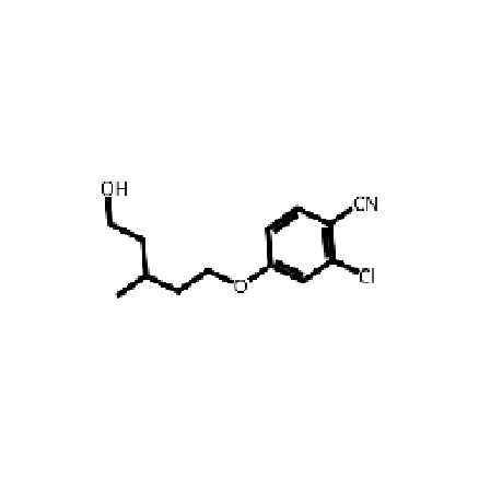 CC(CCO)CCOc1ccc(C#N)c(Cl)c1